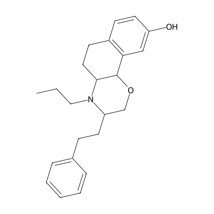 CCCN1C(CCc2ccccc2)COC2c3cc(O)ccc3CCC21